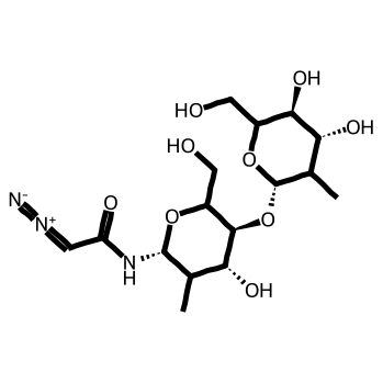 CC1[C@H](O[C@@H]2C(CO)O[C@@H](NC(=O)C=[N+]=[N-])C(C)[C@H]2O)OC(CO)[C@@H](O)[C@@H]1O